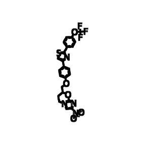 O=[N+]([O-])c1cn2c(n1)OC(COc1ccc(-c3csc(-c4ccc(OC(F)(F)F)cc4)n3)cc1)CC2